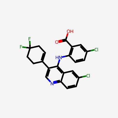 O=C(O)c1cc(Cl)ccc1Nc1c(C2=CCC(F)(F)CC2)cnc2ccc(Cl)cc12